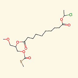 COCC(COC(=O)SC)OC(=O)CCCCCCCCC(=O)OC(C)Cl